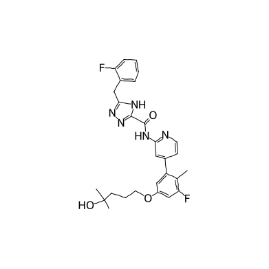 Cc1c(F)cc(OCCCC(C)(C)O)cc1-c1ccnc(NC(=O)c2nnc(Cc3ccccc3F)[nH]2)c1